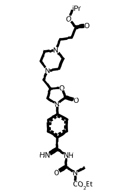 CCOC(=O)N(C)C(=O)NC(=N)c1ccc(N2CC(CN3CCN(CCC(=O)OC(C)C)CC3)OC2=O)cc1